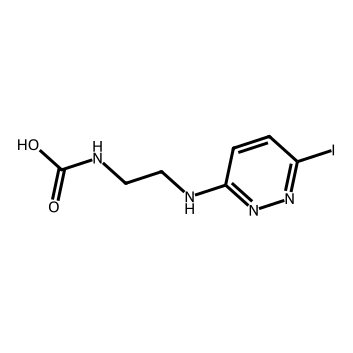 O=C(O)NCCNc1ccc(I)nn1